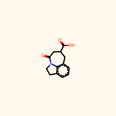 O=C(O)C1CC(=O)N2CCc3cccc(c32)C1